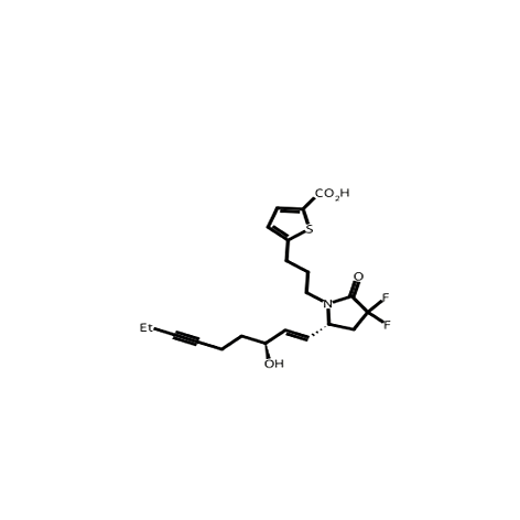 CCC#CCC[C@H](O)/C=C/[C@H]1CC(F)(F)C(=O)N1CCCc1ccc(C(=O)O)s1